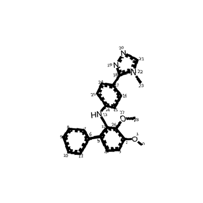 COc1ccc(-c2ccccc2)c(Nc2ccc(-c3nncn3C)cc2)c1OC